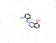 Oc1cccc2c1CN(Cc1c(F)cccc1Cl)CC2